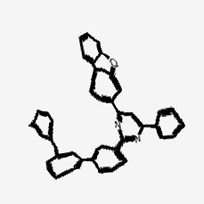 c1ccc(-c2cccc(-c3cccc(-c4nc(-c5ccccc5)cc(-c5ccc6c(c5)oc5ccccc56)n4)c3)c2)cc1